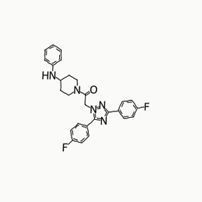 O=C(Cn1nc(-c2ccc(F)cc2)nc1-c1ccc(F)cc1)N1CCC(Nc2ccccc2)CC1